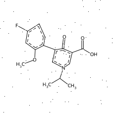 COc1cc(F)ccc1-c1cn(C(C)C)cc(C(=O)O)c1=O